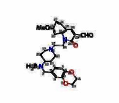 BN(Cc1ccc2c(c1)OCCO2)C1CCN(CCn2c(=O)c(C=O)cc3ccc(OC)cc32)CC1